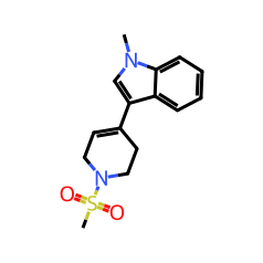 Cn1cc(C2=CCN(S(C)(=O)=O)CC2)c2ccccc21